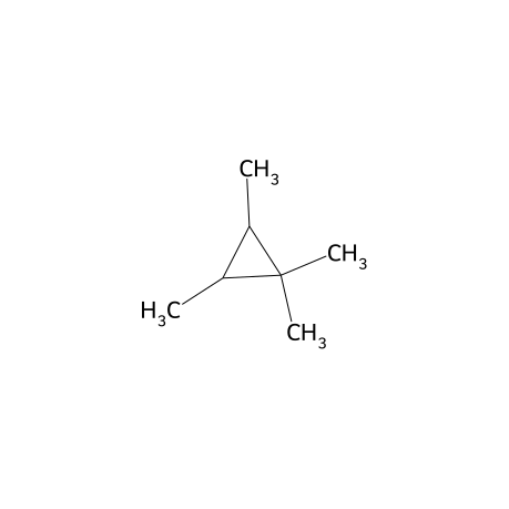 CC1C(C)C1(C)C